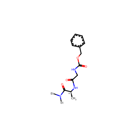 CCN(CC)C(=O)[C@H](C)NC(=O)CNC(=O)OCc1ccccc1